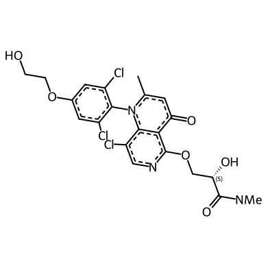 CNC(=O)[C@@H](O)COc1ncc(Cl)c2c1c(=O)cc(C)n2-c1c(Cl)cc(OCCO)cc1Cl